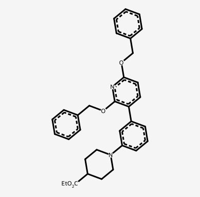 CCOC(=O)C1CCN(c2cccc(-c3ccc(OCc4ccccc4)nc3OCc3ccccc3)c2)CC1